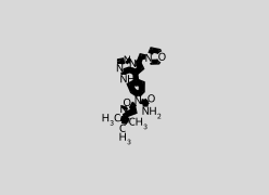 CC(C)(C)c1cc(N(C(N)=O)c2ccc(-c3cc(CN4CCOCC4)n4ncnc(N)c34)cc2)on1